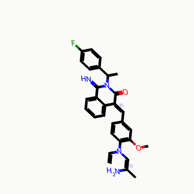 C=CN(/C=C(/C)N)c1ccc(/C=C2/C(=O)N(C(C)c3ccc(F)cc3)C(=N)c3ccccc32)cc1OC